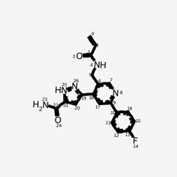 C=CC(=O)NCc1cnc(-c2ccc(F)cc2)cc1-c1cc(C(N)=O)[nH]n1